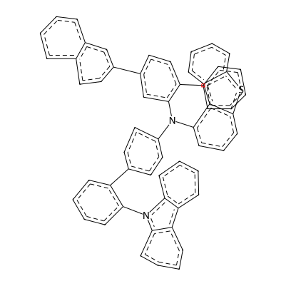 c1ccc(-c2ccc(-c3ccc4ccccc4c3)cc2N(c2ccc(-c3ccccc3-n3c4ccccc4c4ccccc43)cc2)c2cccc3sc4ccccc4c23)cc1